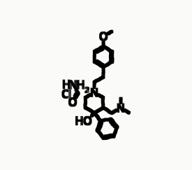 COc1ccc(CCN2CCC(O)(c3ccccc3)C(CN(C)C)C2)cc1.Cl.NC=O